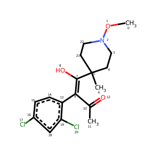 CON1CCC(C)(/C(O)=C(\C(C)=O)c2ccc(Cl)cc2Cl)CC1